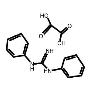 N=C(Nc1ccccc1)Nc1ccccc1.O=C(O)C(=O)O